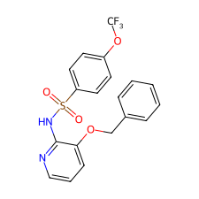 O=S(=O)(Nc1ncccc1OCc1ccccc1)c1ccc(OC(F)(F)F)cc1